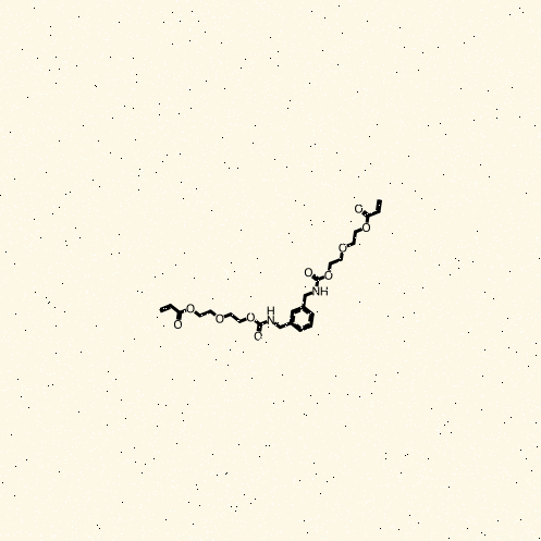 C=CC(=O)OCCOCCOC(=O)NCc1cccc(CNC(=O)OCCOCCOC(=O)C=C)c1